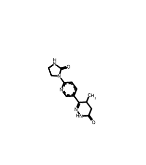 CC1CC(=O)NN=C1c1ccc(N2CCNC2=O)nc1